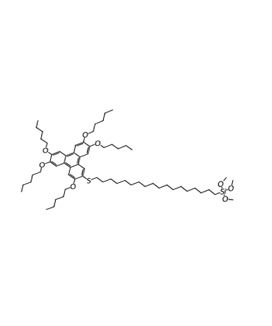 CCCCCOc1cc2c3cc(OCCCCC)c(OCCCCC)cc3c3cc(SCCCCCCCCCCCCCCCCCC[Si](OC)(OC)OC)c(OCCCCC)cc3c2cc1OCCCCC